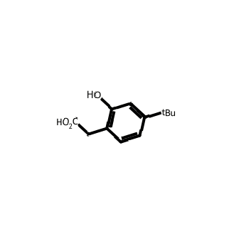 CC(C)(C)c1ccc(CC(=O)O)c(O)c1